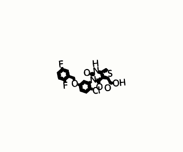 O=C(O)c1scc2[nH]c(=O)n(-c3cc(OCc4cc(F)ccc4F)ccc3Cl)c(=O)c12